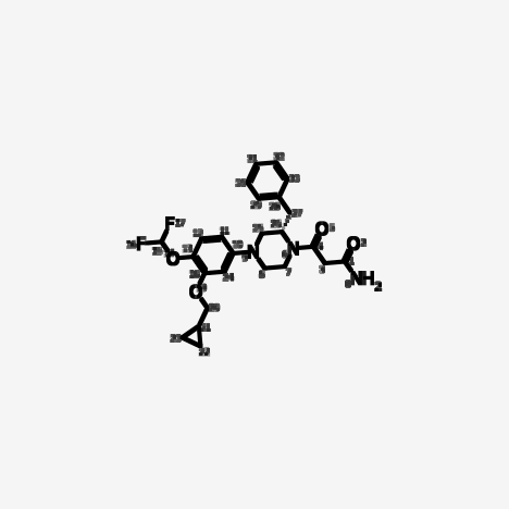 NC(=O)CC(=O)N1CCN(c2ccc(OC(F)F)c(OCC3CC3)c2)C[C@@H]1Cc1ccccc1